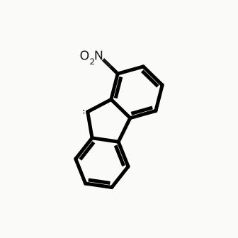 O=[N+]([O-])c1cccc2c1[C]c1ccccc1-2